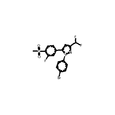 CS(=O)(=O)c1ccc(-c2cc(C(F)F)nn2-c2ccc(Br)cc2)cc1F